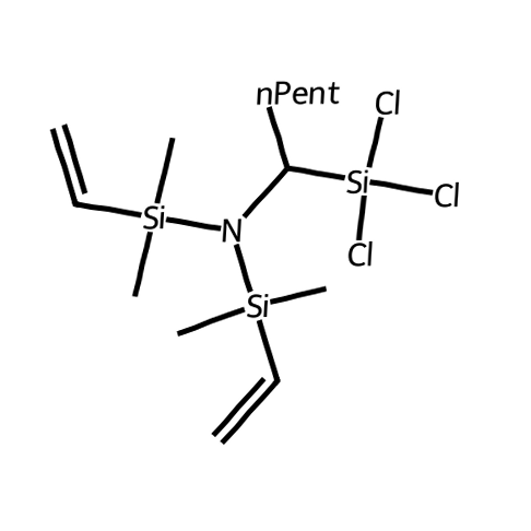 C=C[Si](C)(C)N(C(CCCCC)[Si](Cl)(Cl)Cl)[Si](C)(C)C=C